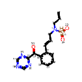 C=CCN(CC=Cc1ccccc1C(=O)c1ncncn1)[SH](=O)=O